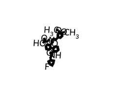 COc1ccc(CCN(CCC(=O)O)C(=O)c2ccccc2-c2ccccc2C(=O)NCc2cccc(F)c2)cc1OC